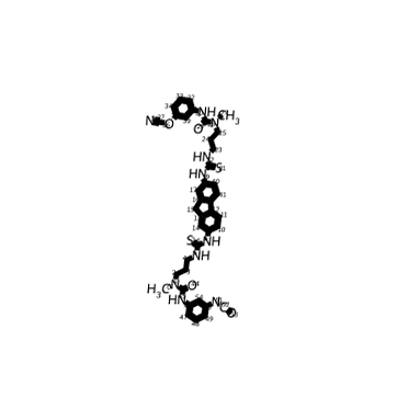 CN(CCCNC(=S)Nc1ccc2c(c1)Cc1cc(NC(=S)NCCCN(C)C(=O)Nc3cccc(OC#N)c3)ccc1-2)C(=O)Nc1cccc(N=C=O)c1